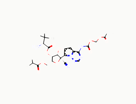 CC(=O)OCOC(=O)Nc1ncnn2c([C@]3(C#N)O[C@H](COC(=O)C(C)C)[C@@H](OC(=O)[C@@H](N)C(C)(C)C)[C@H]3O)ccc12